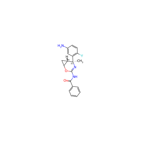 C[C@]1(c2cc(N)ccc2F)N=C(NC(=O)c2ccccc2)OC2C[C@@H]21